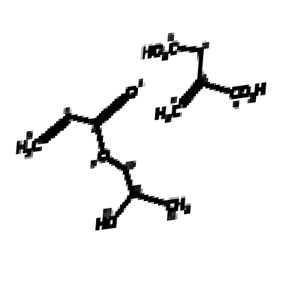 C=C(CC(=O)O)C(=O)O.C=CC(=O)OCC(C)O